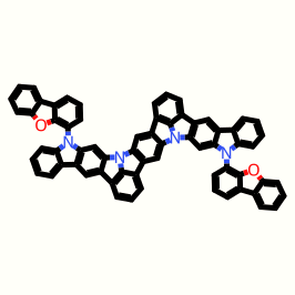 c1ccc2c(c1)oc1c(-n3c4ccccc4c4cc5c6cccc7c8cc9c(cc8n(c5cc43)c76)c3cccc4c5cc6c7ccccc7n(-c7cccc8c7oc7ccccc78)c6cc5n9c34)cccc12